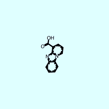 O=C(O)c1cccn2c1nc1ccccc12